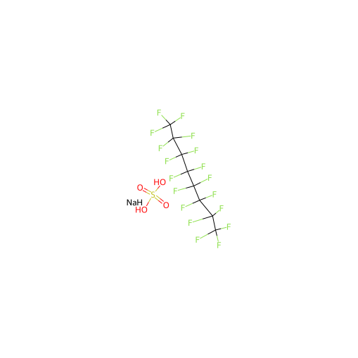 FC(F)(F)C(F)(F)C(F)(F)C(F)(F)C(F)(F)C(F)(F)C(F)(F)C(F)(F)F.O=S(=O)(O)O.[NaH]